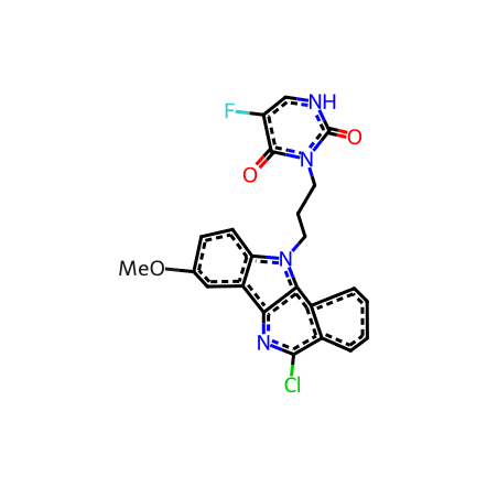 COc1ccc2c(c1)c1nc(Cl)c3ccccc3c1n2CCCn1c(=O)[nH]cc(F)c1=O